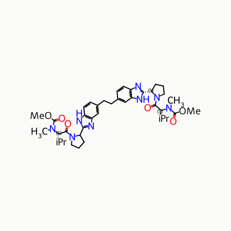 COC(=O)N(C)[C@H](C(=O)N1CCCC1c1nc2cc(CCc3ccc4nc([C@@H]5CCCN5C(=O)[C@H](C(C)C)N(C)C(=O)OC)[nH]c4c3)ccc2[nH]1)C(C)C